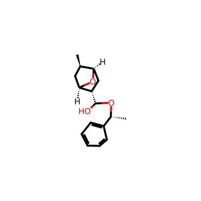 C[C@@H]1C[C@H]2O[C@@H]1C[C@@H]2C(O)O[C@H](C)c1ccccc1